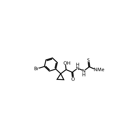 CNC(=S)NNC(=O)C(O)C1(c2cccc(Br)c2)CC1